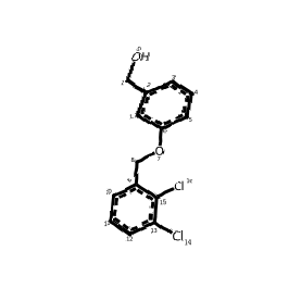 OCc1cccc(OCc2cccc(Cl)c2Cl)c1